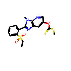 CCS(=O)(=O)c1ccccc1-c1nc2cc(OC(=S)SC)cnc2n1C